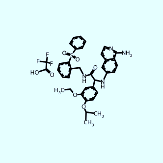 CCOc1cc(C(Nc2ccc3c(N)nccc3c2)C(=O)NCc2ccccc2S(=O)(=O)c2ccccc2)ccc1OC(C)C.O=C(O)C(F)(F)F